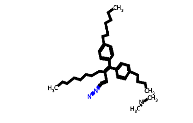 CCCCCCCCC(C=C=[N+]=[N-])=C(c1ccc(CCCC)cc1)c1ccc(CCCCCC)cc1.[CH3][Ni][CH3]